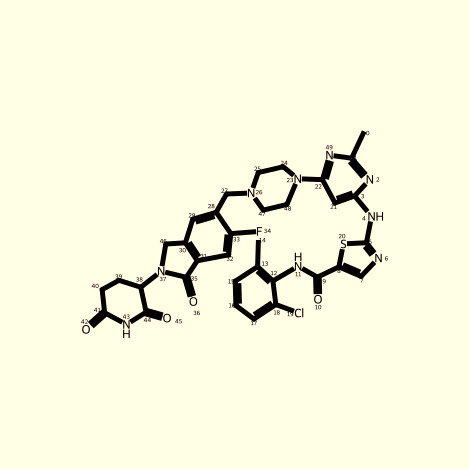 Cc1nc(Nc2ncc(C(=O)Nc3c(C)cccc3Cl)s2)cc(N2CCN(Cc3cc4c(cc3F)C(=O)N(C3CCC(=O)NC3=O)C4)CC2)n1